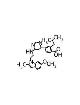 COc1ccc2cc(C)n(CCNc3cc(-c4ccc(C(=O)O)c(CC(C)C)c4)ncn3)c2c1